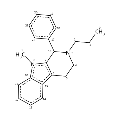 CCCN1CCc2c(n(C)c3ccccc23)C1c1ccccc1